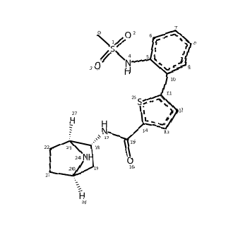 CS(=O)(=O)Nc1ccccc1-c1ccc(C(=O)N[C@@H]2C[C@H]3CC[C@@H]2N3)s1